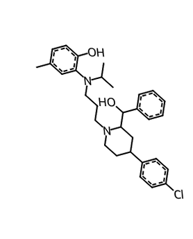 Cc1ccc(O)c(N(CCCN2CCC(c3ccc(Cl)cc3)CC2C(O)c2ccccc2)C(C)C)c1